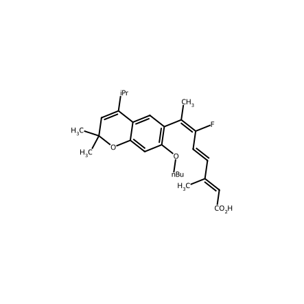 CCCCOc1cc2c(cc1\C(C)=C(F)/C=C/C(C)=C/C(=O)O)C(C(C)C)=CC(C)(C)O2